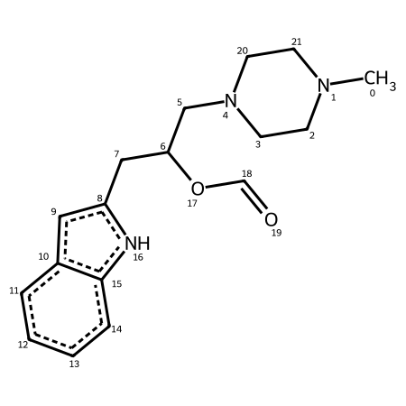 CN1CCN(CC(Cc2cc3ccccc3[nH]2)OC=O)CC1